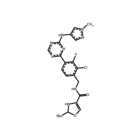 Cn1cc(Nc2ncnc(-c3ccc(CNC(=O)C4=COC(C(C)(C)C)N4)c(Cl)c3F)n2)cn1